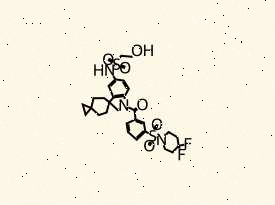 O=C(c1cccc(S(=O)(=O)N2CCC(F)(F)CC2)c1)N1CC2(CCC3(CC3)CC2)c2cc(NS(=O)(=O)CCO)ccc21